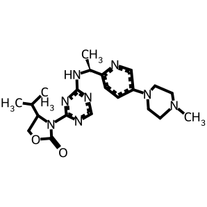 CC(C)C1COC(=O)N1c1ncnc(N[C@@H](C)c2ccc(N3CCN(C)CC3)cn2)n1